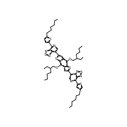 CCCCCCc1csc(-c2ncc(-c3cc4c(OCC(CC)CCCC)c5sc(-c6cnc(-c7ccc(CCCCCC)s7)c7nsnc67)cc5c(OCC(CC)CCCC)c4s3)c3nsnc23)c1